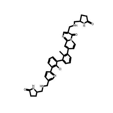 Cc1c(-c2ccn3c(=O)c(CNCC4CCC(=O)N4)cnc3c2)cccc1-c1cccc(-c2ccc(CNCC3CCC(=O)N3)cn2)c1Cl